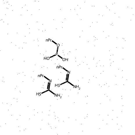 CCCN=C(N)S.CCCN=C(N)S.CCCOP(O)O